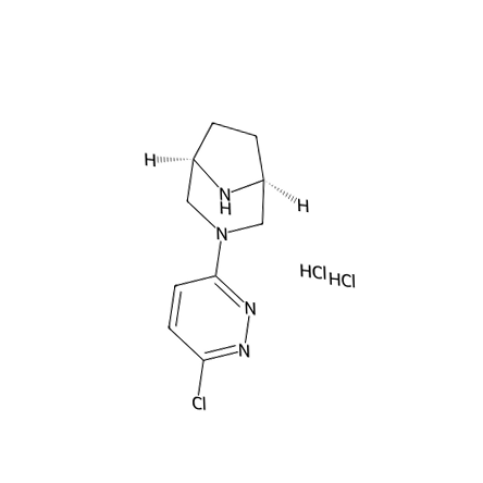 Cl.Cl.Clc1ccc(N2C[C@H]3CC[C@@H](C2)N3)nn1